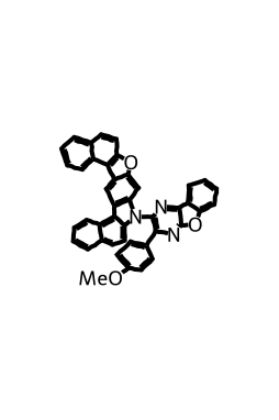 COc1ccc(-c2nc3oc4ccccc4c3nc2-n2c3cc4oc5ccc6ccccc6c5c4cc3c3c4ccccc4ccc32)cc1